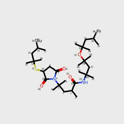 CC(CC(C)(C)N1C(=O)CC(SC(C)(C)CC(C)C(C)(C)C)C1=O)C(=O)NC(C)(C)CC(C)(C)OC(C)(C)CC(C)C(C)C